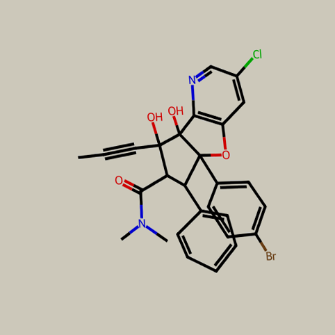 CC#CC1(O)C(C(=O)N(C)C)C(c2ccccc2)C2(c3ccc(Br)cc3)Oc3cc(Cl)cnc3C12O